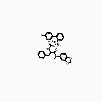 CN(C(=O)C(Cc1ccccc1)NC(=O)NS(=O)(=O)c1ccccc1-c1ccc(F)nc1)c1ccc2c(c1)OCO2